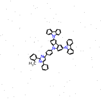 Cc1ccccc1-c1nc(-c2ccccc2)cc(-c2ccc(-n3c4ccc(-n5c6ccccc6c6ccccc65)cc4c4cc(-n5c6ccccc6c6ccccc65)ccc43)cc2)n1